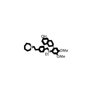 CCN(Cc1ccc(CCN2CCCCCC2)cc1)c1cc(OC)c(OC)cc1[C@H]1CCc2cc(O)ccc2C1